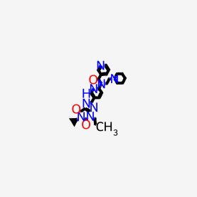 CCCn1c(=O)n(C2CC2)c(=O)c2[nH]c(-c3ccc(N(CCN4CCCCC4)C(=O)c4cccnc4)nc3)nc21